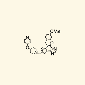 COc1ccc(Cn2c(=O)n3ncnc3c3cc(CN4CCC(Oc5ccncc5)CC4)sc32)cc1